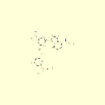 NC(=O)c1cccn2c(-c3nc4c(c(NCc5cccc(B(O)O)c5)n3)CCN4)ncc12